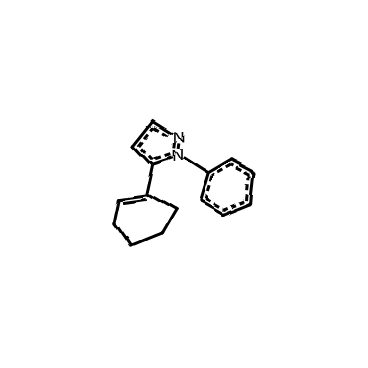 C1=C(c2ccnn2-c2ccccc2)CCCC1